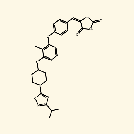 Cc1c(Oc2ccc(C=C3SC(=O)NC3=O)cc2)ncnc1OC1CCN(c2nc(C(C)C)no2)CC1